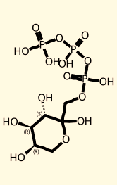 O=P(O)(O)OP(=O)(O)OP(=O)(O)OCC1(O)OC[C@@H](O)[C@@H](O)[C@@H]1O